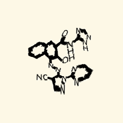 N#Cc1cnn(-c2ncccn2)c1/N=N/c1c(O)c(C(=O)Nc2ncn[nH]2)cc2ccccc12